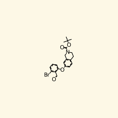 CC(C)(C)OC(=O)N1CCc2ccc(Oc3cccc(Br)c3C=O)cc2C1